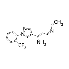 C=C/N=C\C=C(/N)c1cnn(-c2ccccc2C(F)(F)F)c1